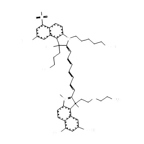 CC[N+]1=C(/C=C/C=C/C=C/C=C2/N(CCCCCC(=O)O)c3ccc4c(S(=O)(=O)[O-])cc(S(=O)(=O)O)cc4c3C2(C)CCCS(=O)(=O)O)C(C)(CCOCCOC)c2c1ccc1c(S(=O)(=O)O)cc(S(=O)(=O)O)cc21